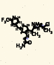 C=C(C1=C(/N=C/C(N)=O)CN(Cc2ccnc(C(F)(F)F)c2)CC1)/C(=C/C=C(\C)Cl)NC